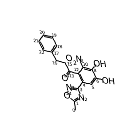 Cc1nc(-c2cc(O)c(O)c([N+](=O)[O-])c2C(=O)CCc2ccccc2)no1